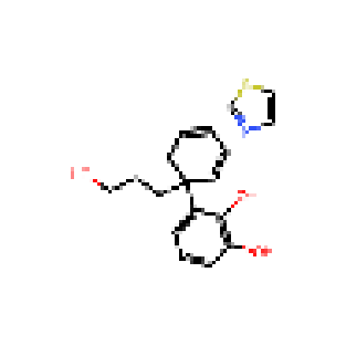 OCCCC1(c2cccc(O)c2O)C=CC=CC1.c1cscn1